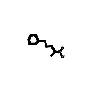 C/C(=C\CCc1ccccc1)[N+](=O)[O-]